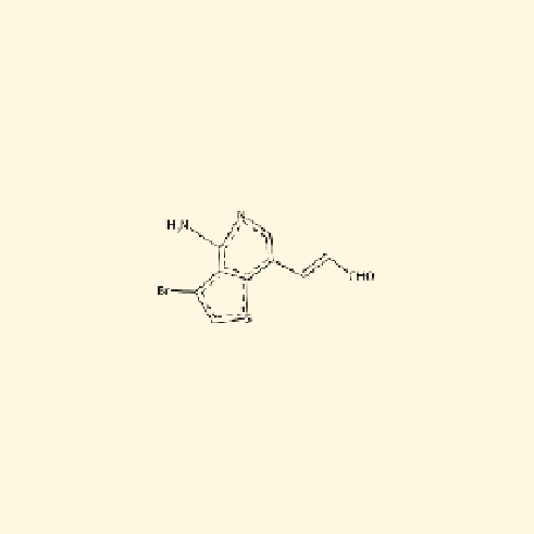 Nc1ncc(C=CC=O)c2scc(Br)c12